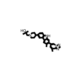 Cc1cc2c(cc1-c1cc(C)c3ncnn3c1)[nH]c1ccc(C3CCN(CC(C)(C)O)CC3)cc12